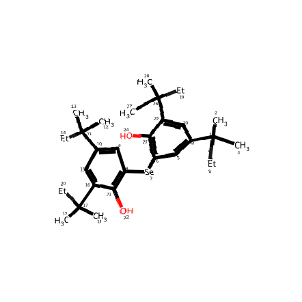 CCC(C)(C)c1cc([Se]c2cc(C(C)(C)CC)cc(C(C)(C)CC)c2O)c(O)c(C(C)(C)CC)c1